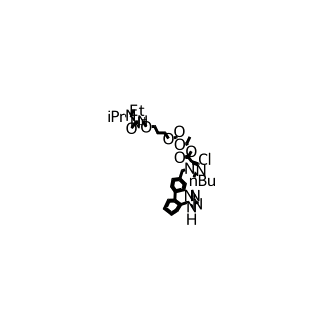 CCCCc1nc(Cl)c(C(=O)OC(C)OC(=O)OCCCO/N=[N+](\[O-])N(CC)C(C)C)n1Cc1ccc(-c2ccccc2-c2nnn[nH]2)cc1